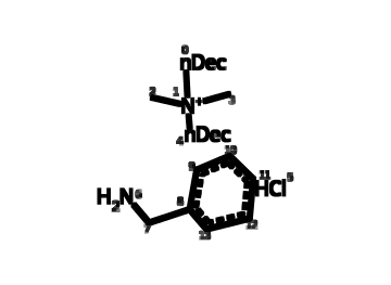 CCCCCCCCCC[N+](C)(C)CCCCCCCCCC.Cl.NCc1ccccc1